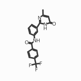 Cc1cc(=O)[nH]c(-c2cccc(NC(=O)c3ccc(C(F)(F)F)cc3)c2)n1